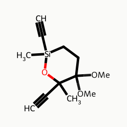 C#CC1(C)O[Si](C)(C#C)CCC1(OC)OC